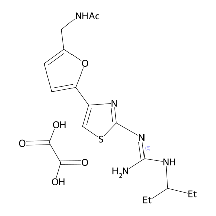 CCC(CC)N/C(N)=N/c1nc(-c2ccc(CNC(C)=O)o2)cs1.O=C(O)C(=O)O